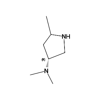 CC1C[C@@H](N(C)C)CN1